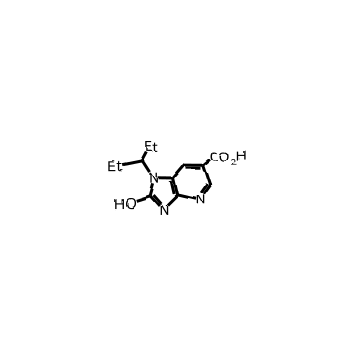 CCC(CC)n1c(O)nc2ncc(C(=O)O)cc21